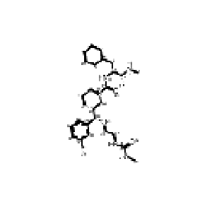 CN[C@H](C)[C@H](CC1CCCCC1)NC(=O)N1CCC[C@@H]([C@@H](OCCNC(=O)OC)c2cccc(Cl)c2)C1